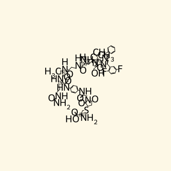 C[C@H](NC(=O)CCNC(=O)[C@@H](N)CCN(C(=O)CO)[C@@H](c1nc(-c2cc(F)ccc2F)cn1Cc1ccccc1)C(C)(C)C)C(=O)N[C@@H](CCCNC(N)=O)C(=O)Nc1ccc(NC(=O)CN2C(=O)CC(SC[C@H](N)C(=O)O)C2=O)cc1